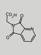 O=C(O)CN1C(=O)c2cccnc2C1=O